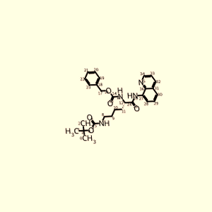 CC(C)(C)OC(=O)NCCCC[C@H](NC(=O)OCc1ccccc1)C(=O)Nc1cccc2cccnc12